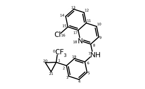 FC(F)(F)C1(c2cccc(Nc3ccc4cccc(Cl)c4n3)c2)CC1